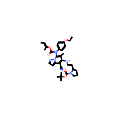 C/C=C(\C)OC(=O)N(c1ccc(OCC)cc1)c1c(C)c(NCCC2CCCN2C(=O)OC(C)(C)C)c(C#N)c2ccnn12